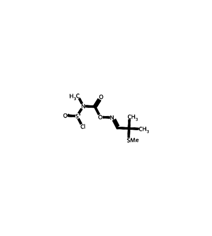 CSC(C)(C)C=NOC(=O)N(C)[S+]([O-])Cl